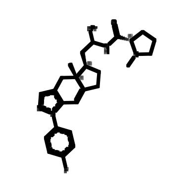 CCCC(C[C@H]1CCC2=Cc3c(cnn3-c3ccc(F)cc3)C[C@@]21C)NC(=O)[C@@H]1CCCN1C